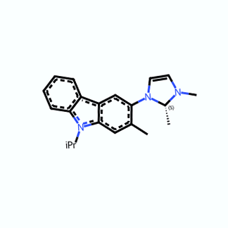 Cc1cc2c(cc1N1C=CN(C)[C@@H]1C)c1ccccc1n2C(C)C